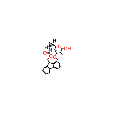 COC(C(C)C(=O)O)[C@@H]1C[C@@H]2C[C@@H]2N1C(=O)OCC1c2ccccc2-c2ccccc21